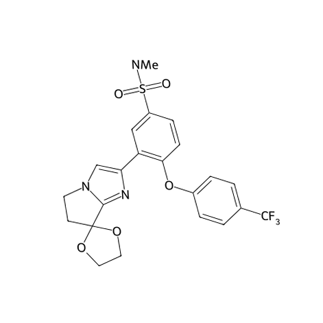 CNS(=O)(=O)c1ccc(Oc2ccc(C(F)(F)F)cc2)c(-c2cn3c(n2)C2(CC3)OCCO2)c1